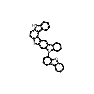 c1ccc2c(c1)[nH]c1ccc3sc4cc5c(cc4c3c12)c1ccccc1n5-c1cccc2c1oc1ccccc12